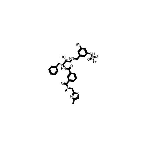 CCS(=O)(=O)Nc1cc(CNC[C@@H](O)[C@H](Cc2ccccc2)NC(=O)c2cccc(C(=O)N(C)Cc3nc(C)cs3)c2)cc(C(C)C)c1